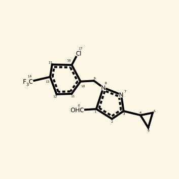 O=Cc1cc(C2CC2)nn1Cc1ccc(C(F)(F)F)cc1Cl